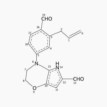 C=CCc1cc(N2CCOc3cc(C=O)[nH]c32)ccc1C=O